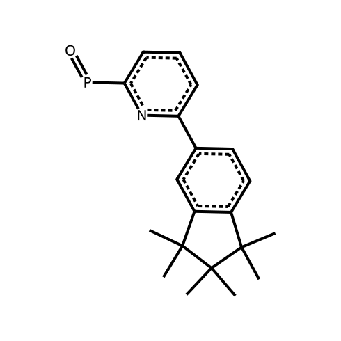 CC1(C)c2ccc(-c3cccc(P=O)n3)cc2C(C)(C)C1(C)C